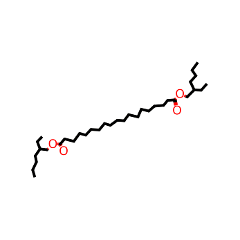 CCCCC(CC)COC(=O)CCCCCCCCCCCCCCCCCC(=O)OCC(CC)CCCC